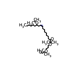 CCCCCCC(C/C=C\CCCCCCCC(=O)C(C)(C)OCCCOC(C)(C)C=O)OC(C)C